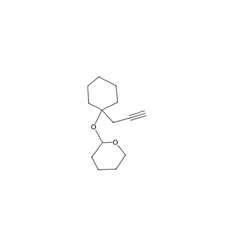 C#CCC1(OC2CCCCO2)CCCCC1